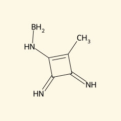 BNc1c(C)c(=N)c1=N